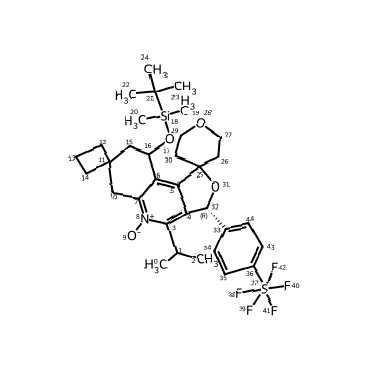 CC(C)c1c2c(c3c([n+]1[O-])CC1(CCC1)CC3O[Si](C)(C)C(C)(C)C)C1(CCOCC1)O[C@@H]2c1ccc(S(F)(F)(F)(F)F)cc1